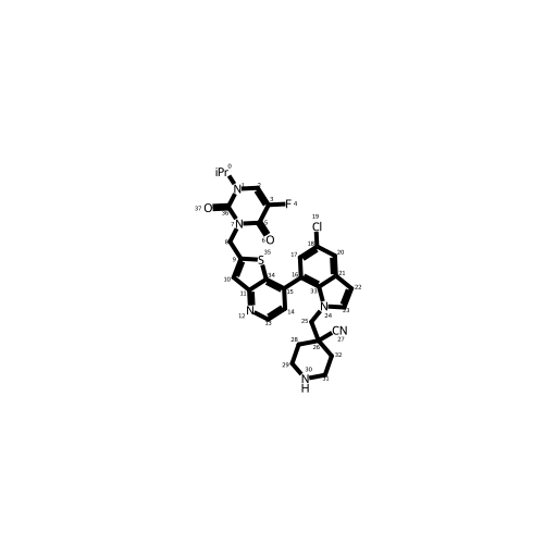 CC(C)n1cc(F)c(=O)n(Cc2cc3nccc(-c4cc(Cl)cc5ccn(CC6(C#N)CCNCC6)c45)c3s2)c1=O